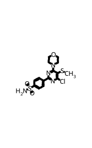 CSc1c(Cl)nc(-c2ccc(S(N)(=O)=O)cc2)nc1N1CCOCC1